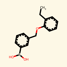 CCc1ccccc1OCc1cccc(B(O)O)c1